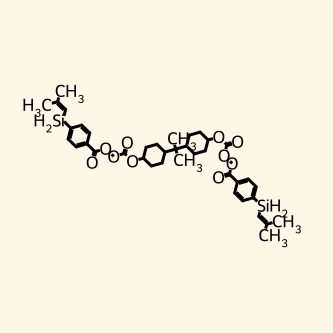 CC(C)=C[SiH2]c1ccc(C(=O)OOC(=O)OC2CCC(C(C)(C)C3CCC(OC(=O)OOC(=O)c4ccc([SiH2]C=C(C)C)cc4)CC3)CC2)cc1